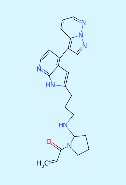 C=CC(=O)N1CCCC1NCCCc1cc2c(-c3cnn4ncccc34)ccnc2[nH]1